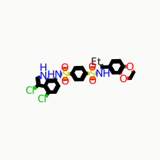 CCC(NS(=O)(=O)c1ccc(S(=O)(=O)Nc2ccc(Cl)c3c(Cl)c[nH]c23)cc1)c1ccc2c(c1)OCCO2